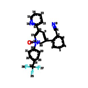 N#Cc1ccccc1C1=CC(c2ccccn2)=C[N+]([O-])(c2ccc(C(F)(F)F)cc2)C1